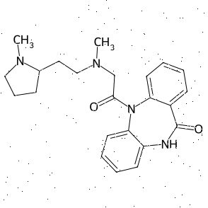 CN(CCC1CCCN1C)CC(=O)N1c2ccccc2NC(=O)c2ccccc21